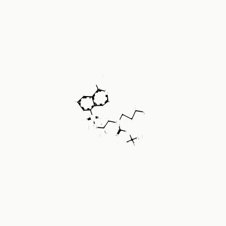 COc1nccc2c(S(=O)(=O)N[C@H](C)CN(CCCO)C(=O)OC(C)(C)C)cccc12